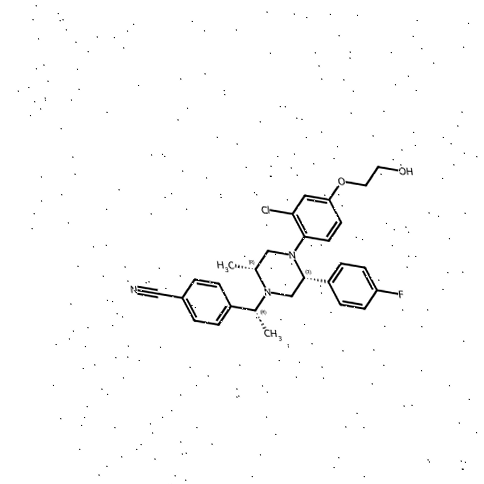 C[C@@H]1CN(c2ccc(OCCO)cc2Cl)[C@H](c2ccc(F)cc2)CN1[C@H](C)c1ccc(C#N)cc1